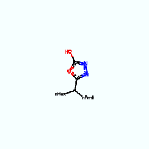 CCCCCCC(CCCCC)c1nnc(O)o1